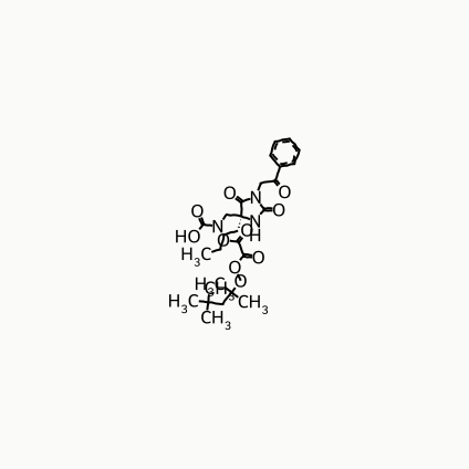 CCCC[C@@]1(CN(OC(=O)C(=O)OOC(C)(C)CC(C)(C)C)C(=O)O)NC(=O)N(CC(=O)c2ccccc2)C1=O